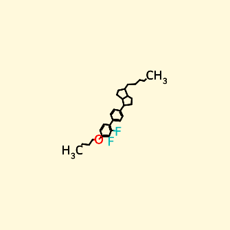 CCCCCC1CCC2C(c3ccc(-c4ccc(OCCCC)c(F)c4F)cc3)CCC12